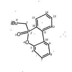 CCC(C)CP1(=O)Oc2ccccc2-c2ccccc21